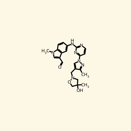 Cc1nn(-c2ccnc(Nc3ccc4c(c3)c(C=O)cn4C)n2)cc1CN1CC(C)(O)CO1